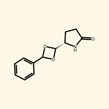 O=C1CC[C@@H](C2OC(c3ccccc3)O2)N1